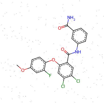 COc1ccc(Oc2cc(Cl)c(Cl)cc2C(=O)Nc2cccc(C(N)=O)c2)c(F)c1